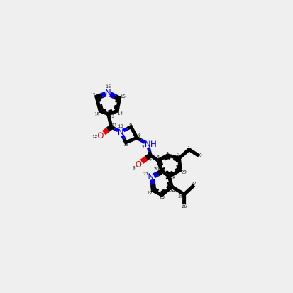 CCc1cc(C(=O)NC2CN(C(=O)c3ccncc3)C2)c2nccc(C(C)C)c2c1